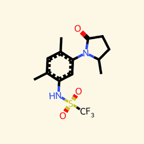 Cc1cc(C)c(N2C(=O)CCC2C)cc1NS(=O)(=O)C(F)(F)F